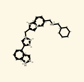 c1cc(-c2cn(Cc3cn4cc(CNCC5CCCCC5)ccc4n3)nn2)c2cn[nH]c2c1